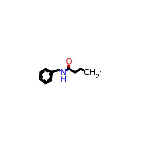 [CH2]CCC(=O)NCc1ccccc1